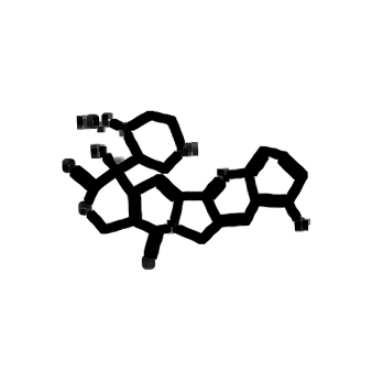 CC[C@]1(C2CNCCN2C(=O)O)C(=O)OCc2c1cc1n(c2=O)Cc2cc3c(Br)cccc3nc2-1